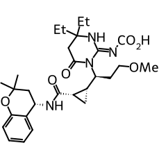 CCC1(CC)CC(=O)N([C@@H](CCOC)[C@@H]2C[C@@H]2C(=O)N[C@H]2CC(C)(C)Oc3ccccc32)C(=NC(=O)O)N1